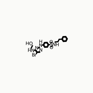 C[C@H](CO)Nc1nc(Nc2ccc(S(=O)(=O)NCCCc3ccccc3)cc2)ncc1Br